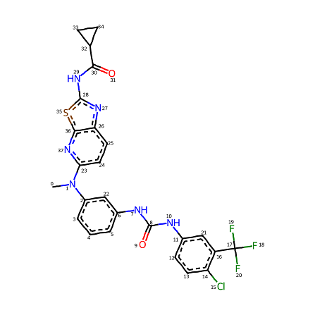 CN(c1cccc(NC(=O)Nc2ccc(Cl)c(C(F)(F)F)c2)c1)c1ccc2nc(NC(=O)C3CC3)sc2n1